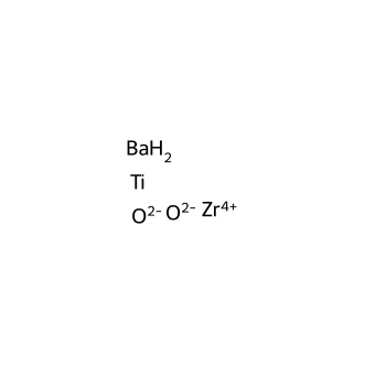 [BaH2].[O-2].[O-2].[Ti].[Zr+4]